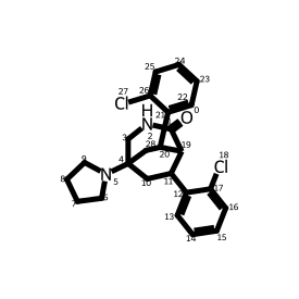 O=C1NCC2(N3CCCC3)CC(c3ccccc3Cl)C1C(c1ccccc1Cl)C2